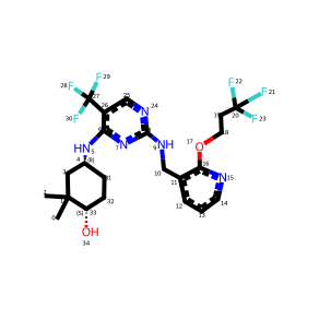 CC1(C)C[C@H](Nc2nc(NCc3cccnc3OCCC(F)(F)F)ncc2C(F)(F)F)CC[C@@H]1O